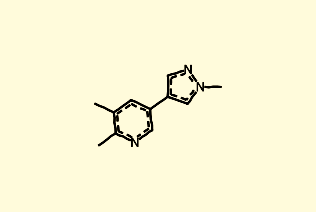 Cc1cc(-c2cnn(C)c2)cnc1C